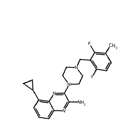 Cc1ccc(F)c(CN2CCN(c3nc4c(C5CC5)cccc4nc3N)CC2)c1F